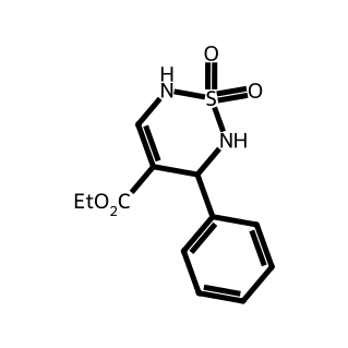 CCOC(=O)C1=CNS(=O)(=O)NC1c1ccccc1